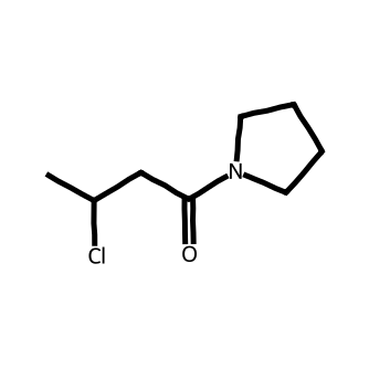 CC(Cl)CC(=O)N1CCCC1